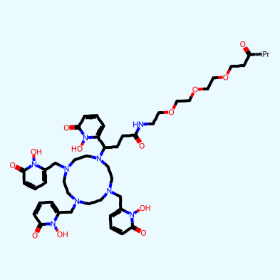 CC(C)C(=O)CCOCCOCCOCCNC(=O)CCC(c1cccc(=O)n1O)N1CCN(Cc2cccc(=O)n2O)CCN(Cc2cccc(=O)n2O)CCN(Cc2cccc(=O)n2O)CC1